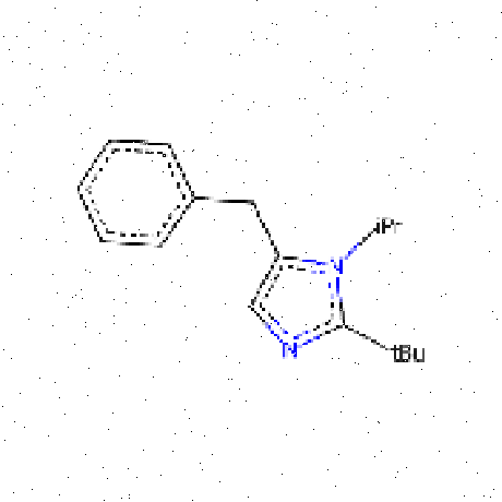 CC(C)n1c(Cc2ccccc2)cnc1C(C)(C)C